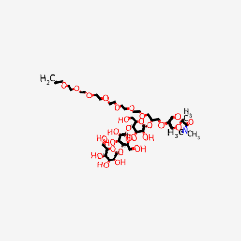 C=CCOCCOCCOCCOCCOCCOCCOCC(COC1COC(C)(C(=O)N(C)C)OC1)O[C@@H]1OC(CO)[C@@H](O[C@@H]2OC(CO)[C@H](O[C@H]3OC(CO)[C@H](O)C(O)C3O)C(O)C2O)C(O)C1O